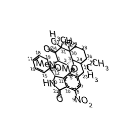 CN[C@@H]1C[C@@]23Oc4c(cc([N+](=O)[O-])c5c4[C@H](C4(OC)C=CC=CC4)NC5=O)C[C@]2(C)[C@@H](C)CC[C@H]3C(C)(C)C1=O